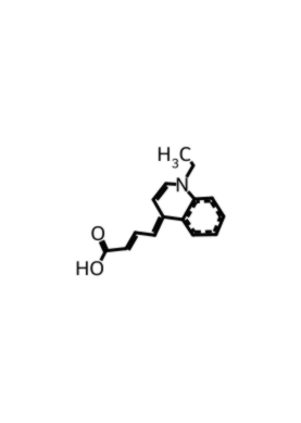 CCN1C=CC(=CC=CC(=O)O)c2ccccc21